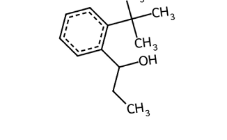 CCC(O)c1ccccc1C(C)(C)C